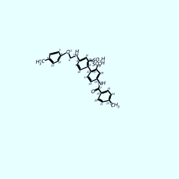 Cc1ccc(OCNc2ccc(-c3ccc(NC(=O)c4ccc(C)cc4)cc3S(=O)(=O)O)c(S(=O)(=O)O)c2)cc1